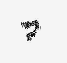 O=C(CNCCN1CCC(OC(=O)Nc2ccccc2-c2ccccc2)CC1)COc1cccc(CNC[C@H](O)c2ccc(O)c3[nH]c(=O)ccc23)c1